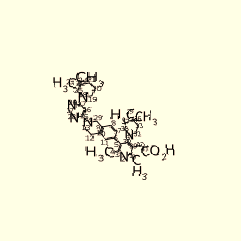 Cc1nc(C)c(-c2ccc3c(c2)CCN(c2cc(N4CCCC(C)(C)C4)ncn2)C3)c(N2CCC(C)(C)CC2)c1CC(=O)O